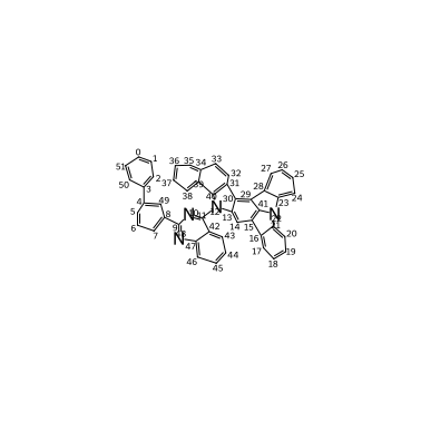 c1ccc(-c2cccc(-c3nc(-n4c5cc6c7ccccc7n7c8ccccc8c(c5c5ccc8ccccc8c54)c67)c4ccccc4n3)c2)cc1